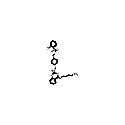 NCCCCNc1nc(NC[C@H]2CC[C@H](CNS(=O)(=O)c3ccccc3Cl)CC2)nc2ccccc12